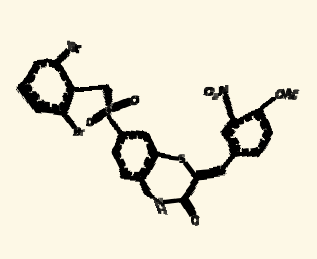 CC(=O)Oc1ccc(/C=C2\Sc3cc(S(=O)(=O)Cc4c(Br)cccc4Br)ccc3NC2=O)cc1[N+](=O)[O-]